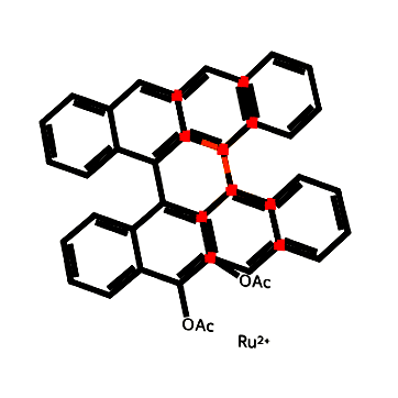 CC(=O)Oc1c(P(c2ccccc2)c2ccccc2)c(-c2c(P(c3ccccc3)c3ccccc3)ccc3ccccc23)c2ccccc2c1OC(C)=O.[Ru+2]